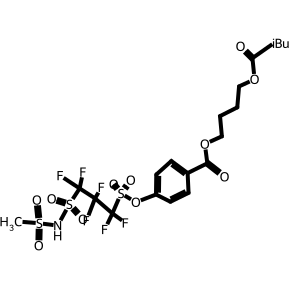 CCC(C)C(=O)OCCCCOC(=O)c1ccc(OS(=O)(=O)C(F)(F)C(F)(F)C(F)(F)S(=O)(=O)NS(C)(=O)=O)cc1